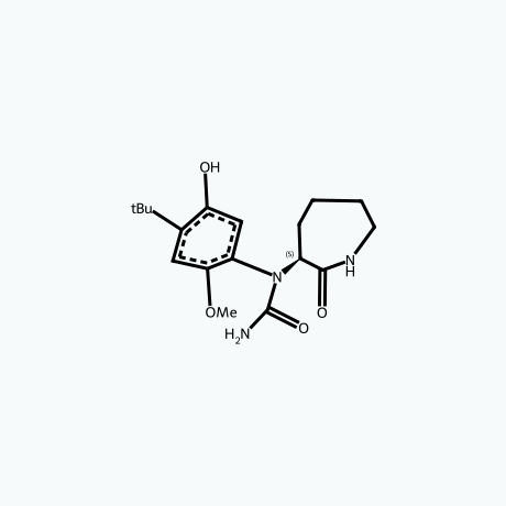 COc1cc(C(C)(C)C)c(O)cc1N(C(N)=O)[C@H]1CCCCNC1=O